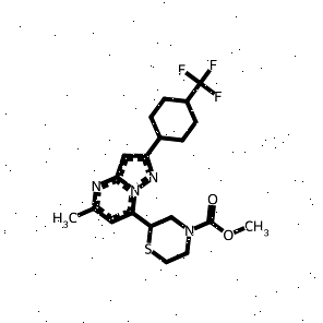 COC(=O)N1CCSC(c2cc(C)nc3cc(C4CCC(C(F)(F)F)CC4)nn23)C1